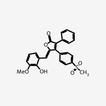 COc1cccc(/C=C2\OC(=O)C(c3ccccc3)=C2c2ccc(S(C)(=O)=O)cc2)c1O